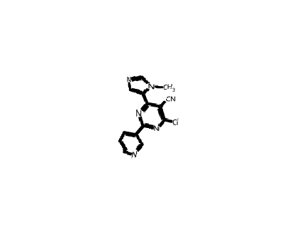 Cn1cncc1-c1nc(-c2cccnc2)nc(Cl)c1C#N